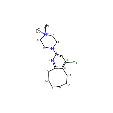 CC[N+]1(C(C)C)CCN(c2cc(F)c3c(n2)CCCCCC3)CC1